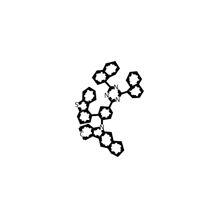 c1ccc2cc3c(cc2c1)c1ccccc1n3-c1ccc(-c2nc(-c3cccc4ccccc34)nc(-c3cccc4ccccc34)n2)cc1-c1cccc2sc3ccccc3c12